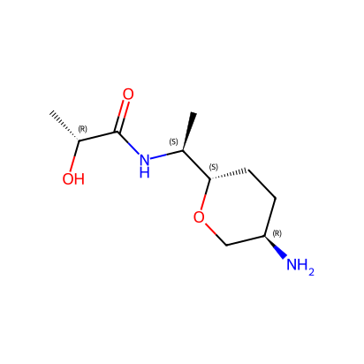 C[C@H](NC(=O)[C@@H](C)O)[C@@H]1CC[C@@H](N)CO1